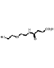 O=C(O)CCC(=O)NCCOCCO